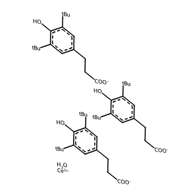 CC(C)(C)c1cc(CCC(=O)[O-])cc(C(C)(C)C)c1O.CC(C)(C)c1cc(CCC(=O)[O-])cc(C(C)(C)C)c1O.CC(C)(C)c1cc(CCC(=O)[O-])cc(C(C)(C)C)c1O.O.[Ce+3]